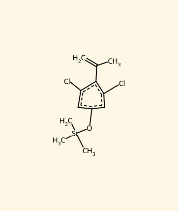 C=C(C)c1c(Cl)cc(O[Si](C)(C)C)cc1Cl